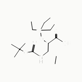 CC[C@H](NC(=O)OC(C)(C)C)[C@@H](O[Si](CC)(CC)CC)C(=O)O